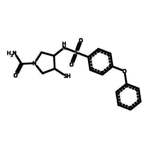 NC(=O)N1CC(S)C(NS(=O)(=O)c2ccc(Oc3ccccc3)cc2)C1